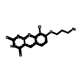 CC(=O)CCCOc1ccc2cc3c(=O)[nH]c(=O)nc-3oc2c1Cl